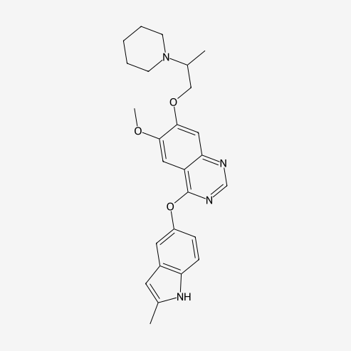 COc1cc2c(Oc3ccc4[nH]c(C)cc4c3)ncnc2cc1OCC(C)N1CCCCC1